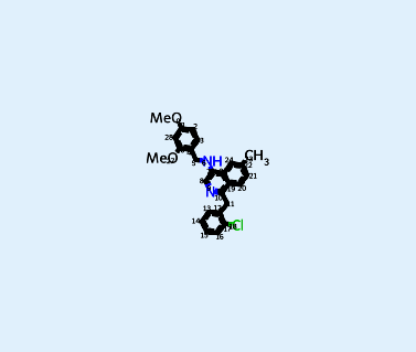 COc1ccc(CNc2cnc(Cc3ccccc3Cl)c3ccc(C)cc23)c(OC)c1